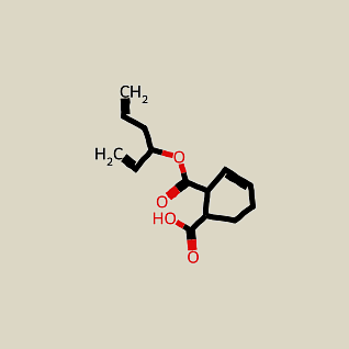 C=CCC(C=C)OC(=O)C1C=CCCC1C(=O)O